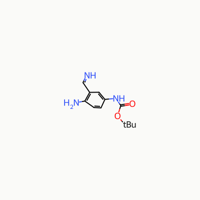 CC(C)(C)OC(=O)Nc1ccc(N)c(C=N)c1